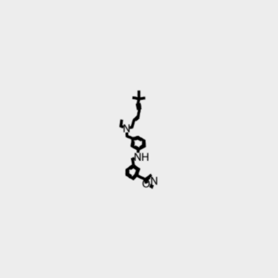 CCN(C/C=C/C#CC(C)(C)C)Cc1cccc(NCc2cccc(-c3cnco3)c2)c1